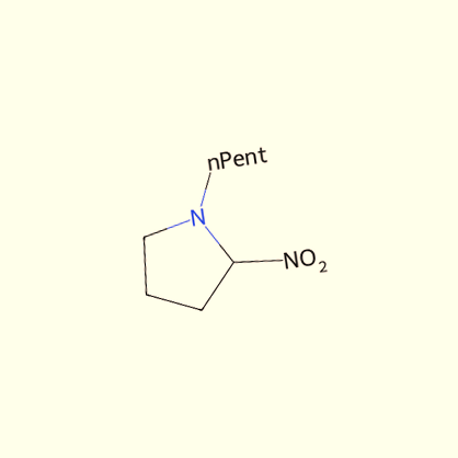 CCCCCN1CCCC1[N+](=O)[O-]